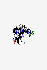 Cc1noc(C)c1-c1cnc2c(-c3cnn(C(F)F)c3)cn(C(C)c3ccccn3)c2c1